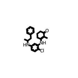 CC1=C(Nc2cc(NC(C)Cc3ccccc3)ccc2Cl)CCCC1=O